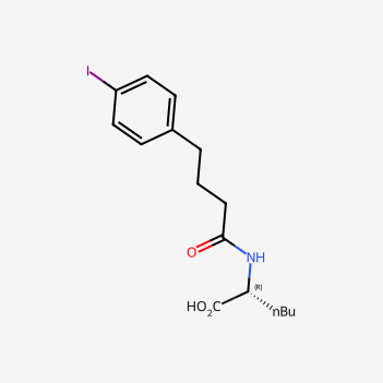 CCCC[C@@H](NC(=O)CCCc1ccc(I)cc1)C(=O)O